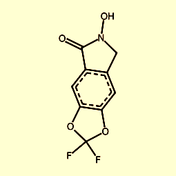 O=C1c2cc3c(cc2CN1O)OC(F)(F)O3